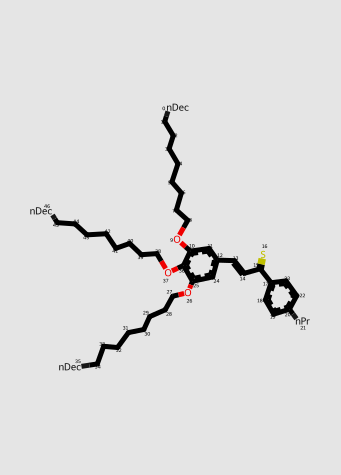 CCCCCCCCCCCCCCCCCCOc1cc(C=CC(=S)c2ccc(CCC)cc2)cc(OCCCCCCCCCCCCCCCCCC)c1OCCCCCCCCCCCCCCCCCC